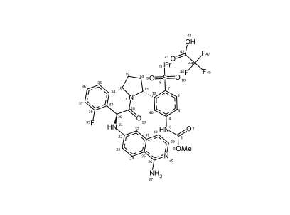 COC(=O)Nc1ccc(S(=O)(=O)C(C)C)c([C@H]2CCCN2C(=O)[C@@H](Nc2ccc3c(N)nccc3c2)c2ccccc2F)c1.O=C(O)C(F)(F)F